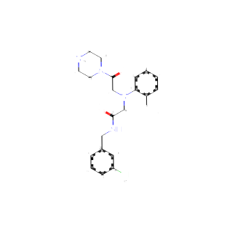 Cc1ccccc1N(CC(=O)NCc1cccc(Cl)c1)CC(=O)N1CCNCC1